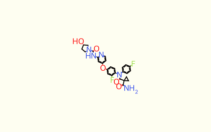 NC(=O)C1(C(=O)N(c2ccc(F)cc2)c2ccc(Oc3ccnc(NC(=O)N4CCC(O)C4)c3)cc2F)CC1